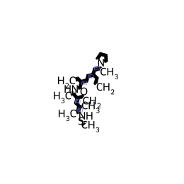 C=CCC(=C\C=C(/C=C)C(=O)N[C@H](C)/C(C=C)=C/C(C)=C(\C)NSC)/C=C(\C)N1CCCC1